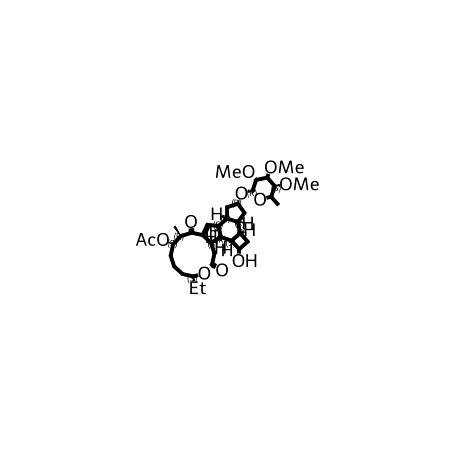 CC[C@H]1CCC[C@H](OC(C)=O)[C@@H](C)C(=O)C2=C[C@H]3[C@@H]4C[C@H](O[C@@H]5OC(C)[C@H](OC)C(OC)C5OC)C[C@H]4[C@@H]4CC(O)[C@@H]4[C@H]3[C@@H]2CC(=O)O1